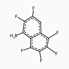 Bc1c(F)c(F)cc2c(F)c(F)c(F)c(F)c12